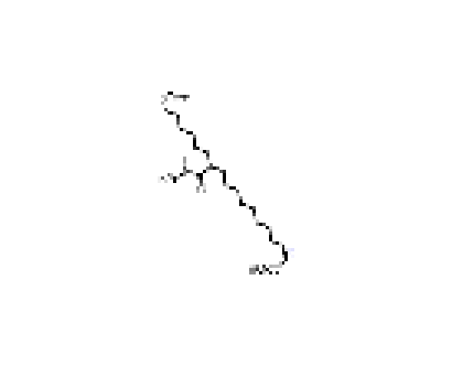 CC[CH]NC(=O)C(CCCCCCCC/C=C\CCCCCCCC)CCCCCCCCCCCCCCCC